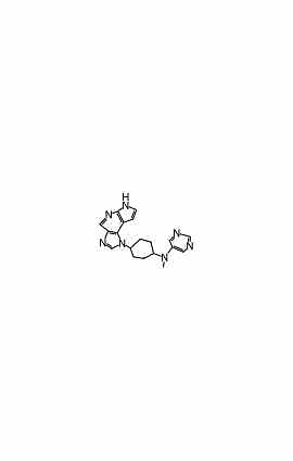 CN(c1cncnc1)C1CCC(n2cnc3cnc4[nH]ccc4c32)CC1